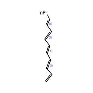 [CH2]CC/C=C/C=C/C=C/C=C/C=C